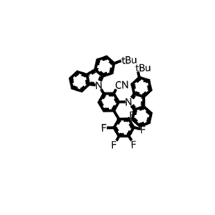 CC(C)(C)c1ccc2c3ccccc3n(-c3ccc(-c4c(F)c(F)c(F)c(F)c4F)c(-n4c5ccccc5c5ccc(C(C)(C)C)cc54)c3C#N)c2c1